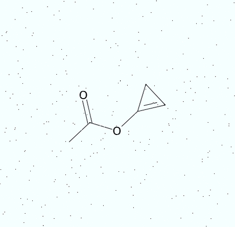 CC(=O)OC1=CC1